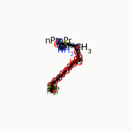 CCCN(CCC)C(=O)C1=Cc2sc(CCCCCN(C)CCOCCOC(CO)OCCOCCOCCOCCOCCOCCOCCC(=O)Oc3c(F)c(F)cc(F)c3F)cc2N=C(N)C1